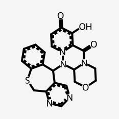 O=C1c2c(O)c(=O)ccn2N(C2c3ccccc3SCc3ncncc32)C2COCCN12